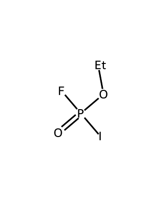 CCOP(=O)(F)I